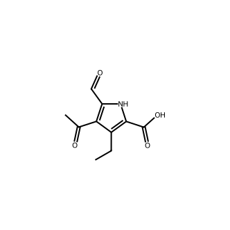 CCc1c(C(=O)O)[nH]c(C=O)c1C(C)=O